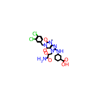 Cn1c(=O)n(Cc2ccc(Cl)c(Cl)c2)c(=O)c2c1nc(NC1CCCC(C(=O)O)C1)n2CC(=O)C(N)=O